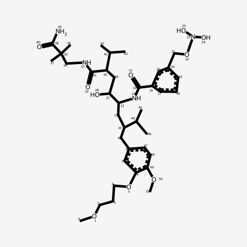 COCCCOc1cc(CC(CC(NC(=O)c2cccc(CON(O)O)c2)C(O)CC(C(=O)NCC(C)(C)C(N)=O)C(C)C)C(C)C)ccc1OC